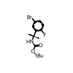 [CH2][C@](C)(NC(=O)OC(C)(C)C)c1cc(Br)ccc1F